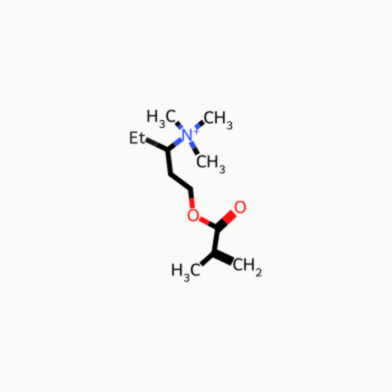 [CH2]CC(CCOC(=O)C(=C)C)[N+](C)(C)C